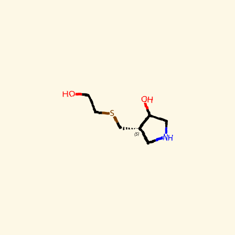 OCCSC[C@H]1CNCC1O